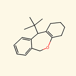 CC(C)(C)C1C2=C(CCCC2)OCc2ccccc21